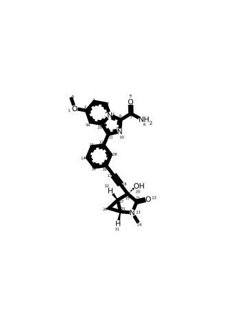 COc1ccn2c(C(N)=O)nc(-c3cccc(C#C[C@@]4(O)C(=O)N(C)[C@@H]5C[C@@H]54)c3)c2c1